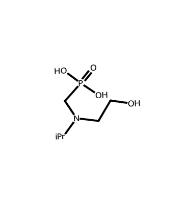 CC(C)N(CCO)CP(=O)(O)O